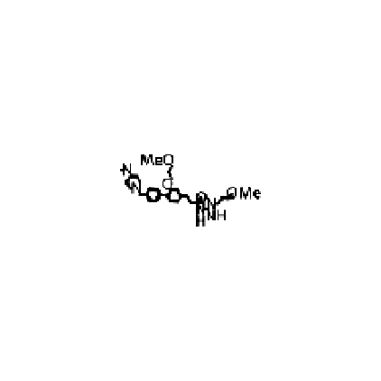 COCCCNC(=N)NC(=O)CCc1ccc(-c2ccc(CN3CCC(N(C)C)CC3)cc2)c(OCCCOC)c1